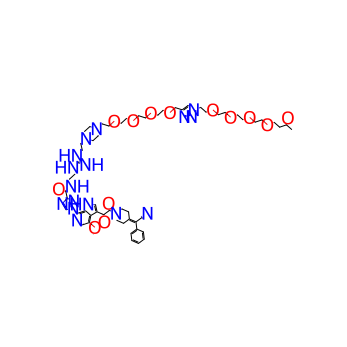 COc1cnc(-n2cnc(C(=O)NCCNC(=N)NCCN3CCN(CCOCCOCCOCCOCc4cn(CCOCCOCCOCCOCCC(C)=O)nn4)CC3)n2)c2[nH]cc(C(=O)C(=O)N3CCC(=C(C#N)c4ccccc4)CC3)c12